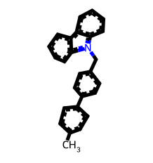 Cc1ccc(-c2ccc(Cn3c4ccccc4c4ccccc43)cc2)cc1